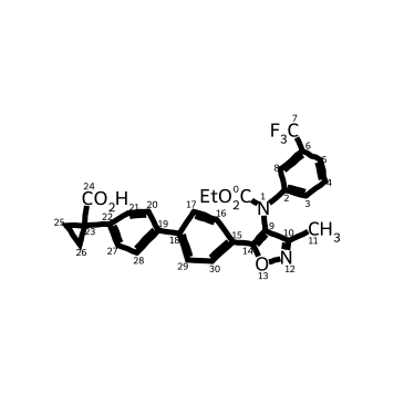 CCOC(=O)N(c1cccc(C(F)(F)F)c1)c1c(C)noc1-c1ccc(-c2ccc(C3(C(=O)O)CC3)cc2)cc1